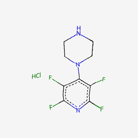 Cl.Fc1nc(F)c(F)c(N2CCNCC2)c1F